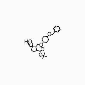 C=CC1(CO)CCC(C(=O)OC(C)(C)C)C1COC1CCC(OCc2ccccc2)CC1